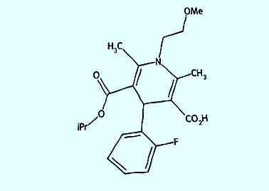 COCCN1C(C)=C(C(=O)O)C(c2ccccc2F)C(C(=O)OC(C)C)=C1C